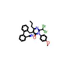 CCCc1nc(C(Br)Br)n(-c2ccc(OC)cc2)c(=O)c1Cc1ccccc1-c1ccccc1C#N